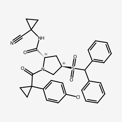 N#CC1(NC(=O)[C@@H]2C[C@@H](S(=O)(=O)C(c3ccccc3)c3ccccc3)CN2C(=O)C2(c3ccc(Cl)cc3)CC2)CC1